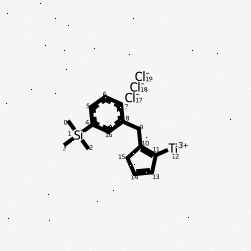 C[Si](C)(C)c1cccc(CC2=[C]([Ti+3])C=CC2)c1.[Cl-].[Cl-].[Cl-]